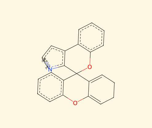 C1=C2Oc3ccccc3C3(Oc4ccccc4-c4cc5ccccn5c43)C2=CCC1